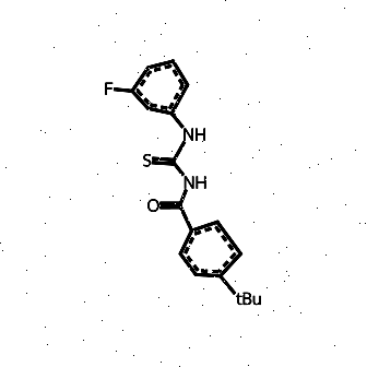 CC(C)(C)c1ccc(C(=O)NC(=S)Nc2cccc(F)c2)cc1